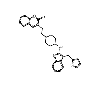 O=c1oc2ccccc2cc1CCN1CCC(Nc2nc3ccccc3n2Cc2cccs2)CC1